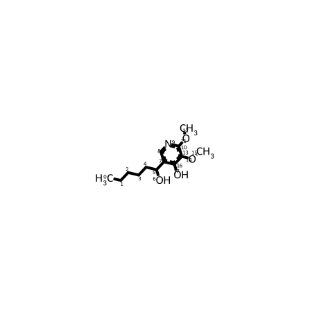 CCCCCC(O)c1cnc(OC)c(OC)c1O